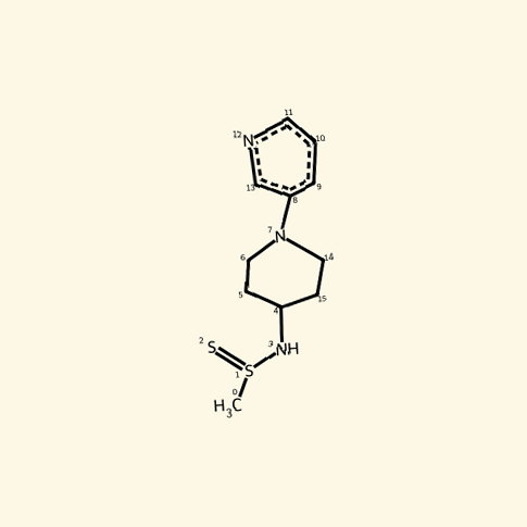 CS(=S)NC1CCN(c2cccnc2)CC1